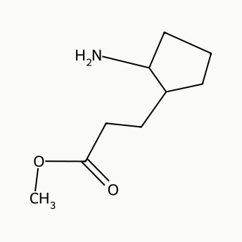 COC(=O)CCC1CCCC1N